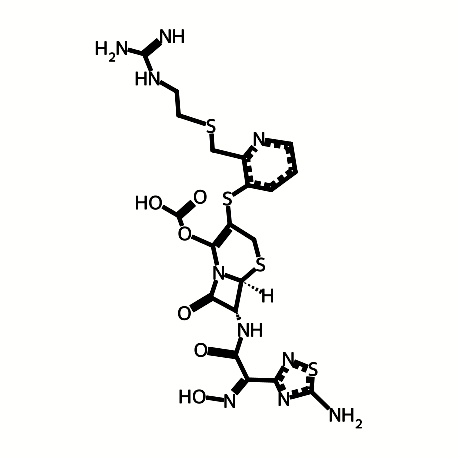 N=C(N)NCCSCc1ncccc1SC1=C(OC(=O)O)N2C(=O)[C@@H](NC(=O)/C(=N\O)c3nsc(N)n3)[C@@H]2SC1